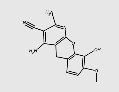 COc1ccc2c(c1O)Oc1nc(N)c(C#N)c(N)c1C2